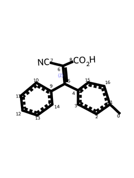 Cc1ccc(/C(=C(/C#N)C(=O)O)c2ccccc2)cc1